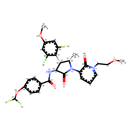 COCCn1cccc(N2C(=O)[C@@H](NC(=O)c3ccc(OC(F)F)cc3)[C@H](c3c(F)cc(OC)cc3F)[C@@H]2C)c1=O